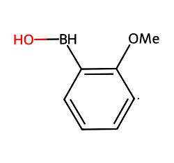 COc1[c]cccc1BO